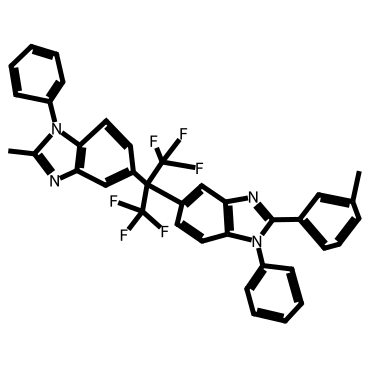 Cc1cccc(-c2nc3cc(C(c4ccc5c(c4)nc(C)n5-c4ccccc4)(C(F)(F)F)C(F)(F)F)ccc3n2-c2ccccc2)c1